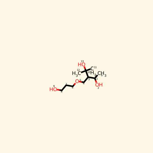 CC(O)C(COCCCO)C(C)(C)O